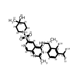 Cc1nc(N[C@H](C)c2cccc(C(F)F)c2F)c2cc(S(=O)(=O)N3CCC(C)(O)CC3)ncc2n1